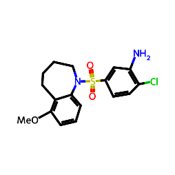 COc1cccc2c1CCCCN2S(=O)(=O)c1ccc(Cl)c(N)c1